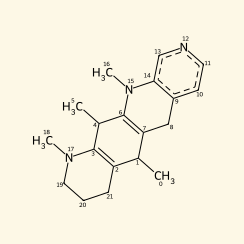 CC1C2=C(C(C)C3=C1Cc1ccncc1N3C)N(C)CCC2